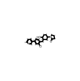 O=C1CCCN1C1CCC(O)C(Cc2ccc(-c3cccnc3)cc2Cl)C1